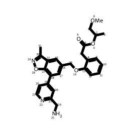 COCC(C)OC(=O)Cc1ccccc1OCc1cc(-c2ccnc(CN)c2)c2onc(C)c2c1